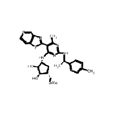 COC[C@H]1C[C@@H](Nc2nc(N[C@H](C)c3ccc(C)cc3)nc(C)c2-c2nc3cnccc3s2)[C@H](O)[C@@H]1O